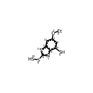 CCOc1cc(S)c2nc(SS)sc2c1